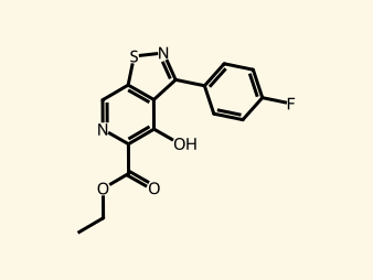 CCOC(=O)c1ncc2snc(-c3ccc(F)cc3)c2c1O